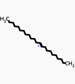 [CH2]CCCCCCCC/C=C/CCCCCCCCCCC[CH2]